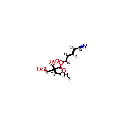 CCC(CO)(CO)C(=O)OCCCCC#N